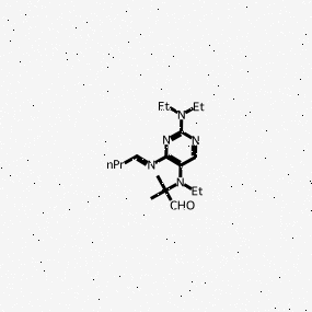 [CH2]CCC=Nc1nc(N(CC)CC)ncc1N(CC)C(C)(C)C=O